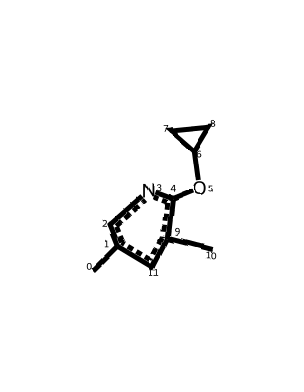 Cc1cnc(OC2CC2)c(C)c1